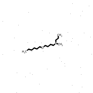 CCCCCCOCCCCN(C)CCC